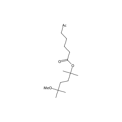 COC(C)(C)CCC(C)(C)OC(=O)CCCCC(C)=O